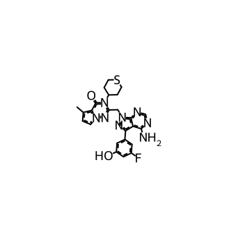 Cc1ccn2nc(Cn3nc(-c4cc(O)cc(F)c4)c4c(N)ncnc43)n(C3CCSCC3)c(=O)c12